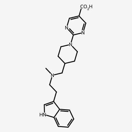 CN(CCc1c[nH]c2ccccc12)CC1CCN(c2ncc(C(=O)O)cn2)CC1